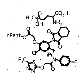 CC(C)N(C(=O)COc1nnc(C(F)(F)F)s1)c1ccc(F)cc1.CCCCCOC(=O)COc1cc(N2C(=O)C3=C(CCCC3)C2=O)c(F)cc1Cl.CP(=O)(O)CCC(N)C(=O)O